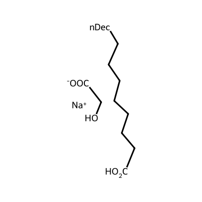 CCCCCCCCCCCCCCCCCC(=O)O.O=C([O-])CO.[Na+]